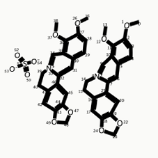 COc1ccc2cc3[n+](cc2c1OC)CCc1cc2c(cc1-3)OCO2.COc1ccc2cc3[n+](cc2c1OC)CCc1cc2c(cc1-3)OCO2.O=S(=O)([O-])[O-]